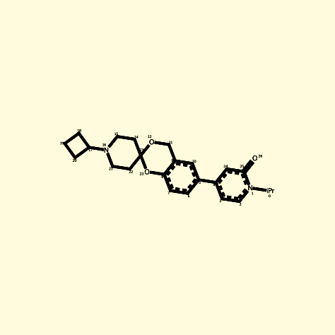 CC(C)n1ccc(-c2ccc3c(c2)COC2(CCN(C4CCC4)CC2)O3)cc1=O